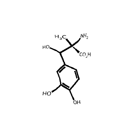 C[C@@](N)(C(=O)O)C(O)c1ccc(O)c(O)c1